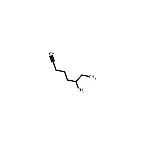 C#CCCCC(C)CC